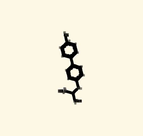 CCCCCCCCCC(Oc1ccc(-c2ccc(C#N)cc2)cc1)C(=O)O